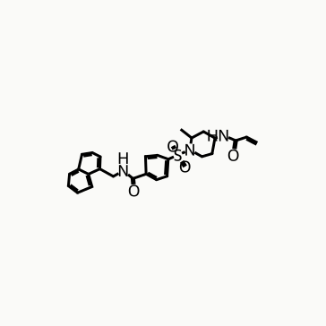 C=CC(=O)NC1CCN(S(=O)(=O)c2ccc(C(=O)NCc3cccc4ccccc34)cc2)C(C)C1